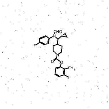 Cc1c(F)cccc1OC(=O)N1CCC(C(C2CC2)N(C=O)c2ccc(F)cc2)CC1